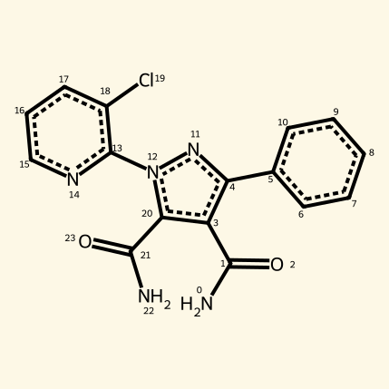 NC(=O)c1c(-c2ccccc2)nn(-c2ncccc2Cl)c1C(N)=O